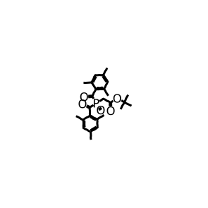 Cc1cc(C)c(C(=O)P(=O)(CC(=O)OC(C)(C)C)C(=O)c2c(C)cc(C)cc2C)c(C)c1